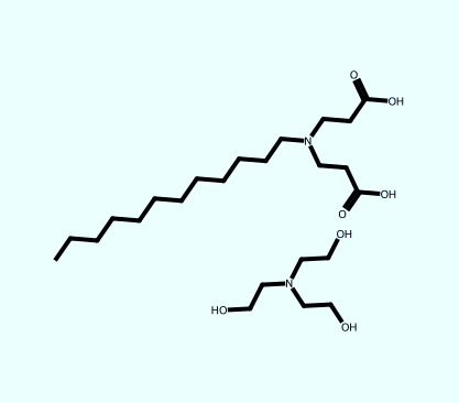 CCCCCCCCCCCCN(CCC(=O)O)CCC(=O)O.OCCN(CCO)CCO